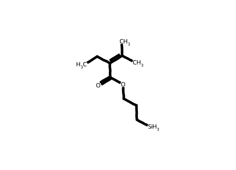 CCC(C(=O)OCCC[SiH3])=C(C)C